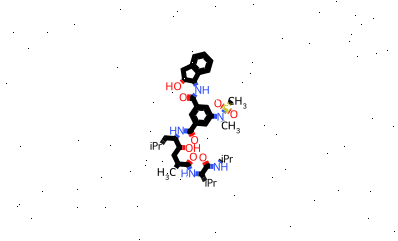 CC(C)CC(NC(=O)c1cc(C(=O)NC2c3ccccc3CC2O)cc(N(C)S(C)(=O)=O)c1)C(O)CC(C)C(=O)NC(C(=O)NC(C)C)C(C)C